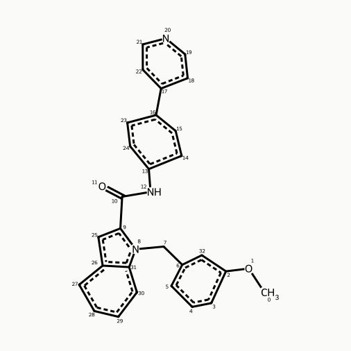 COc1cccc(Cn2c(C(=O)Nc3ccc(-c4ccncc4)cc3)cc3ccccc32)c1